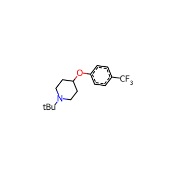 CC(C)(C)N1CCC(Oc2ccc(C(F)(F)F)cc2)CC1